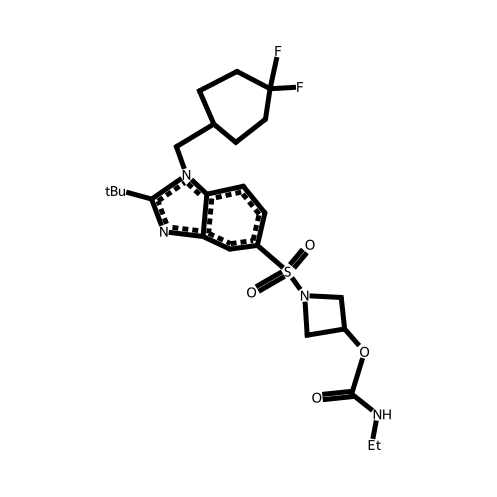 CCNC(=O)OC1CN(S(=O)(=O)c2ccc3c(c2)nc(C(C)(C)C)n3CC2CCC(F)(F)CC2)C1